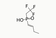 CCC=CP(=O)(O)CC(F)(F)F